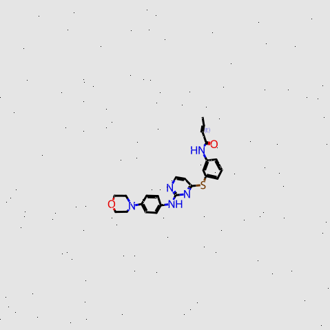 C/C=C/C(=O)Nc1cccc(Sc2ccnc(Nc3ccc(N4CCOCC4)cc3)n2)c1